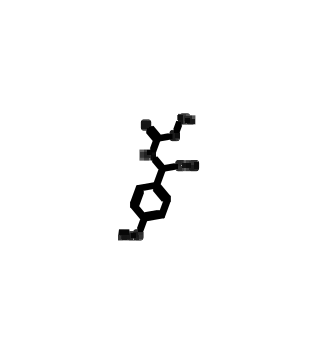 COc1ccc(C(C=O)NC(=O)OC(C)(C)C)cc1